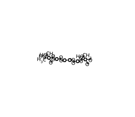 CC(O)c1cc(C2CO2)c(C2CO2)cc1C(=O)Oc1ccc(C(=O)Oc2ccc(-c3ccc(OC(=O)c4ccc(OC(=O)c5cc(C(C)O)c(C(C)O)cc5C5CO5)cc4)cc3)cc2)cc1